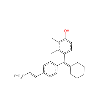 CCOC(=O)/C=C/c1ccc(C(=C2CCCCC2)c2ccc(O)c(C)c2C)cc1